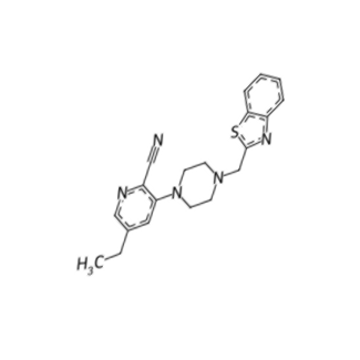 CCc1cnc(C#N)c(N2CCN(Cc3nc4ccccc4s3)CC2)c1